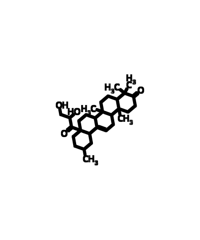 CC1CCC2(C(=O)C(O)CO)CCC3C(=CCC4C3(C)CCC3C(C)(C)C(=O)CCC34C)C2C1